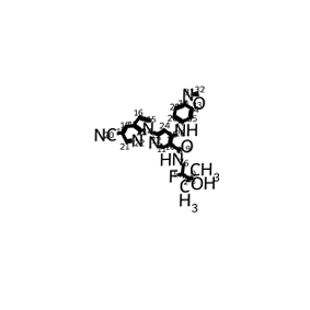 CC(C)(O)C(F)CNC(=O)c1cnc(-n2ccc3cc(C#N)cnc32)cc1Nc1ccc2ncoc2c1